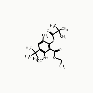 CCOC(=O)c1c(NC)c(C(C)(C)C)cc(C)c1OC(=O)C(C)(C)C